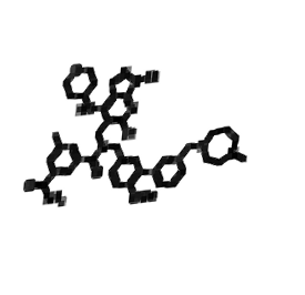 CCc1nc2c(cnn2CC)c(NC2CCOCC2)c1CN(Cc1ccc(OC)c(-c2cccc(CN3CCCN(C)CC3)c2)c1)C(=O)c1cc(C)cc(C(N)=O)c1